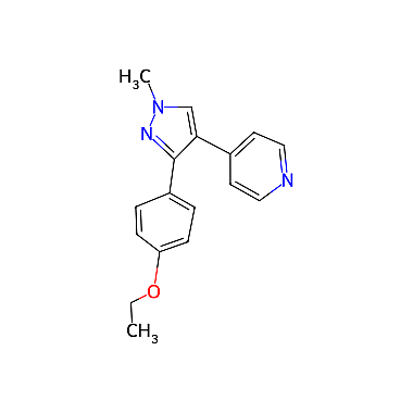 CCOc1ccc(-c2nn(C)cc2-c2ccncc2)cc1